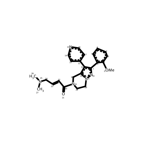 COc1ccccc1-c1nn2c(c1-c1ccncc1)CN(C(=O)/C=C/CN(C)C)CC2